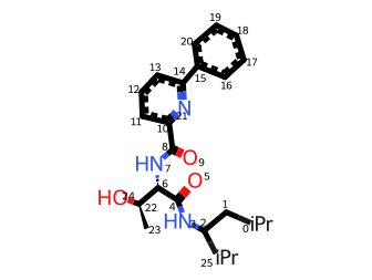 CC(C)CC(NC(=O)[C@@H](NC(=O)c1cccc(-c2ccccc2)n1)[C@@H](C)O)C(C)C